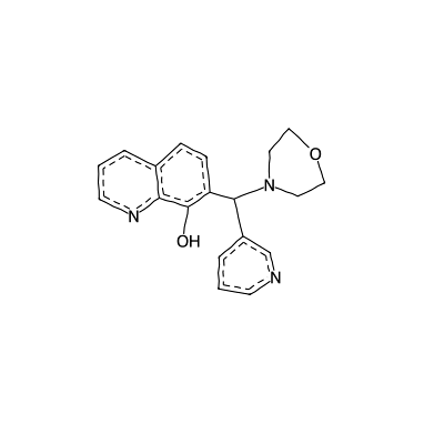 Oc1c(C(c2cccnc2)N2CCOCC2)ccc2cccnc12